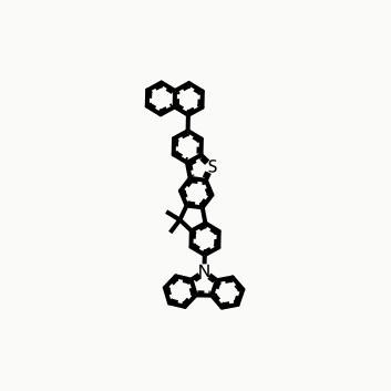 CC1(C)c2cc(-n3c4ccccc4c4ccccc43)ccc2-c2cc3sc4cc(-c5cccc6ccccc56)ccc4c3cc21